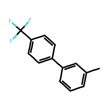 Cc1cc[c]c(-c2ccc(C(F)(F)F)cc2)c1